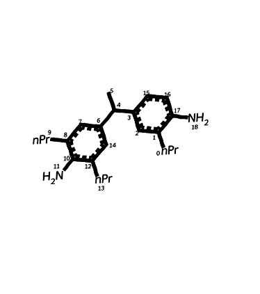 CCCc1cc(C(C)c2cc(CCC)c(N)c(CCC)c2)ccc1N